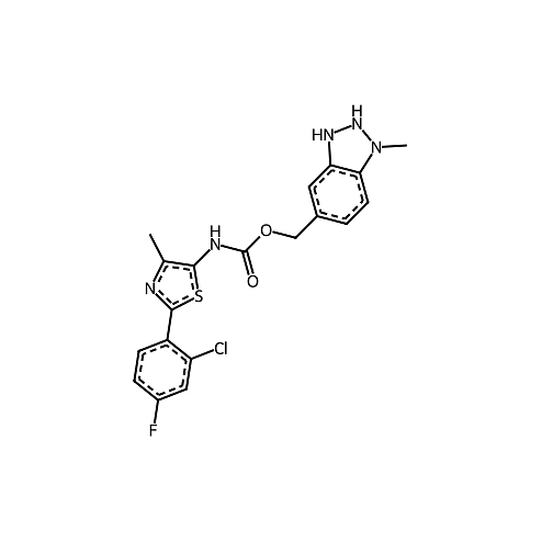 Cc1nc(-c2ccc(F)cc2Cl)sc1NC(=O)OCc1ccc2c(c1)NNN2C